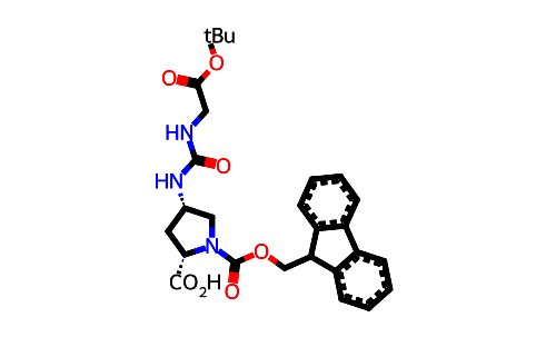 CC(C)(C)OC(=O)CNC(=O)N[C@H]1C[C@@H](C(=O)O)N(C(=O)OCC2c3ccccc3-c3ccccc32)C1